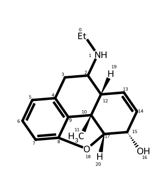 CCNC1Cc2cccc3c2[C@]2(C)[C@H]1C=C[C@H](O)[C@@H]2O3